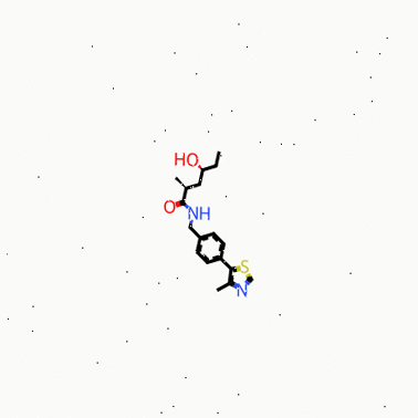 CC[C@H](O)C[C@H](C)C(=O)NCc1ccc(-c2scnc2C)cc1